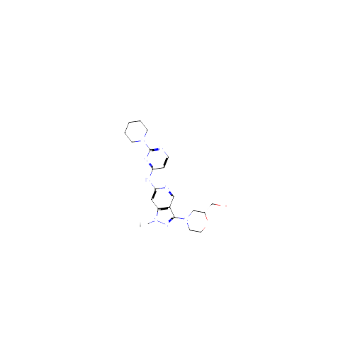 CC(C)n1nc(N2CCO[C@H](CO)C2)c2cnc(Nc3ccnc(N4CC[C@@H](O)[C@@H](F)C4)n3)cc21